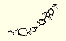 C[C@]1(C(=O)O)CC[C@@H](OC2CCN(c3ccc(-c4nc5ccc(C(F)(F)F)cc5[nH]4)cn3)CC2)CC1